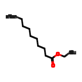 CCCCCCCCCCCCCCCCCC(=O)OCC(C)(C)C